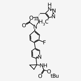 Cc1nn[nH]c1C[C@@H]1CN(c2ccc(-c3ccc(C4(NC(=O)OC(C)(C)C)CC4)nc3)c(F)c2)C(=O)O1